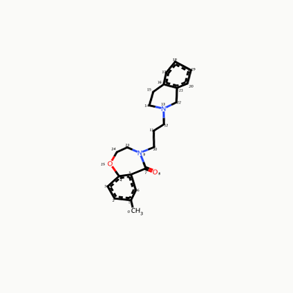 Cc1ccc2c(c1)C(=O)N(CCCN1CCc3ccccc3C1)CCO2